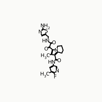 Cc1cc(NC(=O)c2c(C)c(C(=O)C(=O)NCc3cnc(N)s3)n3c2CCCC3)cnc1F